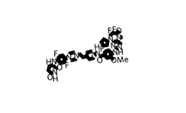 COc1cc(C(=O)NN2CCC(CCN3CCN(c4cc(F)c(NC5CCC(=O)NC5=O)cc4F)CC3)CC2)c(F)cc1Nc1ncc2c(n1)N(C1CCCC1)CC(F)(F)C(=O)N2C